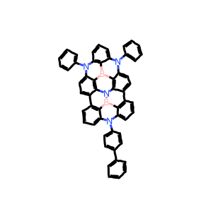 c1ccc(-c2ccc(N3c4cccc5c4B4c6c(cccc63)-c3ccc6c7c3N4c3c-5ccc4c3B7c3c(cccc3N6c3ccccc3)N4c3ccccc3)cc2)cc1